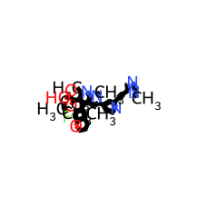 Cc1nc2c(cc(-c3ccnc(C#Cc4cncn4C)c3)n2C)c(-c2cc(F)c3c(c2C)CCCO3)c1C(OC(C)(C)C)C(=O)O